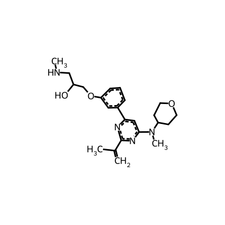 C=C(C)c1nc(-c2cccc(OCC(O)CNC)c2)cc(N(C)C2CCOCC2)n1